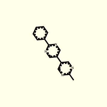 Cc1ncc(-c2cnc(-c3ccccc3)nc2)cn1